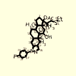 CCSCC(=O)C1(OC(C)=O)CC[C@@]2(C)C3CCC4=Cc5c(cnn5-c5ccc(F)cc5)CC4(C)[C@@]3(C)C(O)CC12C